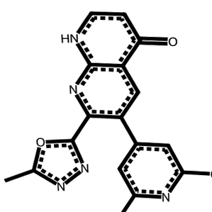 Cc1cc(-c2cc3c(=O)cc[nH]c3nc2-c2nnc(C)o2)cc(Cl)n1